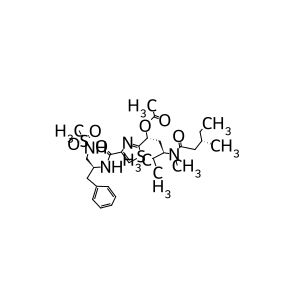 CC[C@H](C)CC(=O)N(C)[C@H](C[C@@H](OC(C)=O)c1nc(C(=O)N[C@H](CNS(C)(=O)=O)Cc2ccccc2)cs1)C(C)C